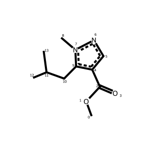 COC(=O)c1cnn(C)c1CC(C)C